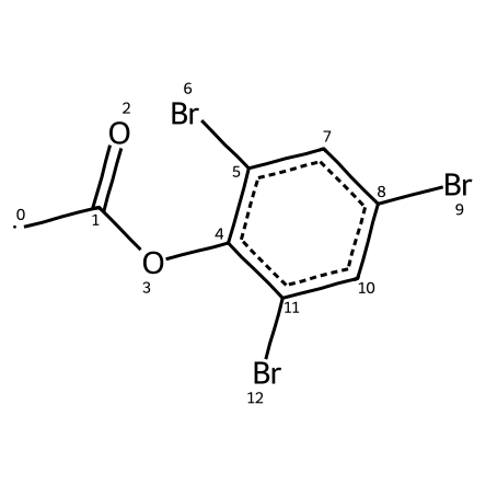 [CH2]C(=O)Oc1c(Br)cc(Br)cc1Br